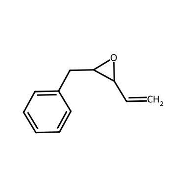 C=CC1OC1Cc1ccccc1